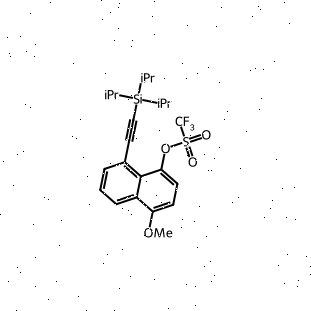 COc1ccc(OS(=O)(=O)C(F)(F)F)c2c(C#C[Si](C(C)C)(C(C)C)C(C)C)cccc12